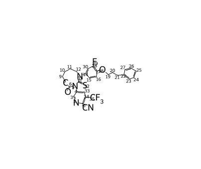 N#Cc1ncc(N2C(=O)CCCCCN(c3ccc(OCCCc4ccccc4)c(F)c3)C2=S)cc1C(F)(F)F